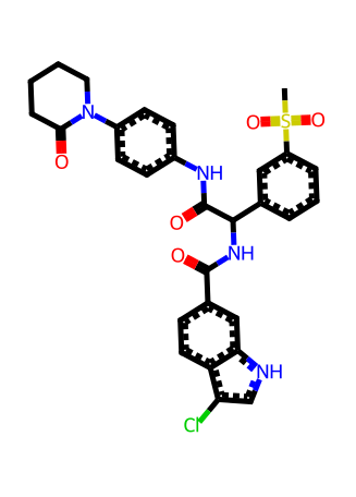 CS(=O)(=O)c1cccc(C(NC(=O)c2ccc3c(Cl)c[nH]c3c2)C(=O)Nc2ccc(N3CCCCC3=O)cc2)c1